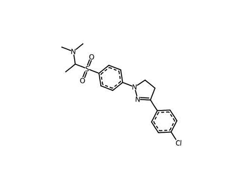 CC(N(C)C)S(=O)(=O)c1ccc(N2CCC(c3ccc(Cl)cc3)=N2)cc1